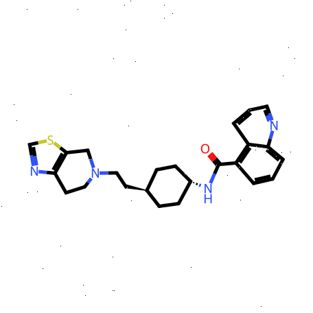 O=C(N[C@H]1CC[C@H](CCN2CCc3ncsc3C2)CC1)c1cccc2ncccc12